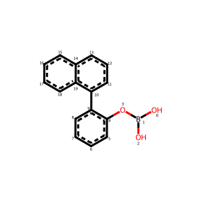 OB(O)Oc1ccccc1-c1cccc2ccccc12